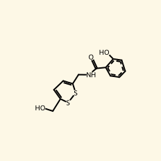 O=C(NCC1=CC=C(CO)SS1)c1ccccc1O